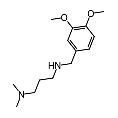 COc1ccc(CNCCCN(C)C)cc1OC